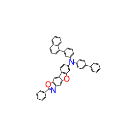 c1ccc(-c2ccc(N(c3cccc(-c4cccc5ccccc45)c3)c3ccc4c(c3)oc3cc5nc(-c6ccccc6)oc5cc34)cc2)cc1